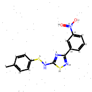 Cc1ccc(SNc2nc(-c3cccc([N+](=O)[O-])c3)ns2)cc1